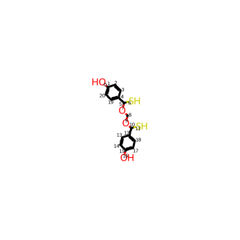 Oc1ccc(C(S)OCOC(S)c2ccc(O)cc2)cc1